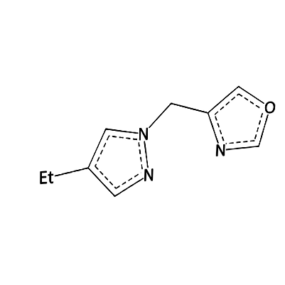 CCc1cnn(Cc2cocn2)c1